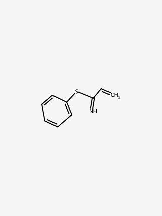 C=CC(=N)Sc1ccccc1